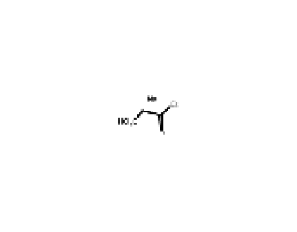 CCC(=O)CC(=O)O.[Na]